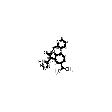 CC(C)c1cccc2n(Cc3ccccn3)c(=O)c(-c3nnn[nH]3)c-2c1